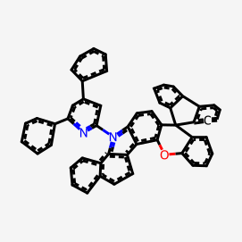 c1ccc(-c2cc(-c3ccccc3)nc(-n3c4ccc5c(c4c4ccc6ccccc6c43)Oc3ccccc3C53c4ccccc4-c4ccccc43)c2)cc1